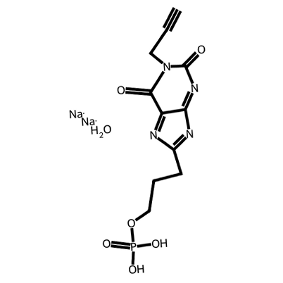 C#CCN1C(=O)N=C2N=C(CCCOP(=O)(O)O)N=C2C1=O.O.[Na].[Na]